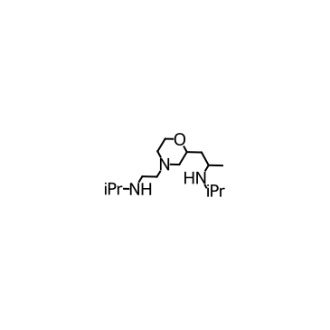 CC(C)NCCN1CCOC(CC(C)NC(C)C)C1